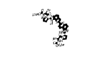 COC(=O)N[C@H](C(=O)N1CCC[C@H]1c1nc2ccc3nc(-c4cc5ccc6nc([C@@H]7CCCN7C(=O)[C@@H](NC(=O)OC)C(C)C)[nH]c6c5s4)ccc3c2[nH]1)C(C)C